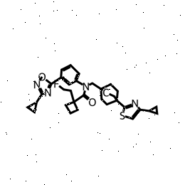 O=C(N(CC12CCC(c3nc(C4CC4)cs3)(CC1)CC2)c1cccc(-c2nc(C3CC3)no2)c1)C1(CCF)CCC1